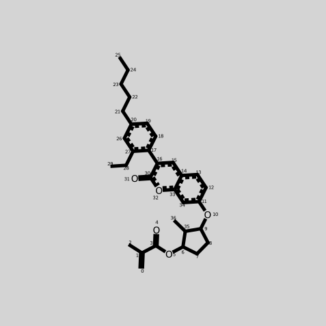 C=C(C)C(=O)OC1CCC(Oc2ccc3cc(-c4ccc(CCCCC)cc4CC)c(=O)oc3c2)C1C